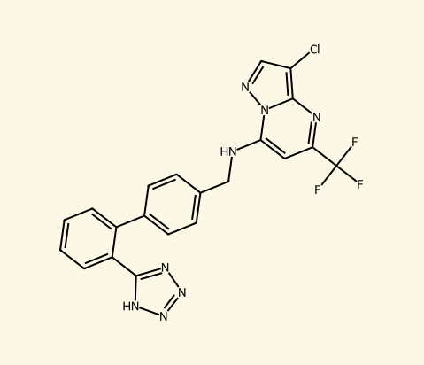 FC(F)(F)c1cc(NCc2ccc(-c3ccccc3-c3nnn[nH]3)cc2)n2ncc(Cl)c2n1